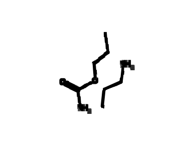 CCCN.CCCOC(N)=O